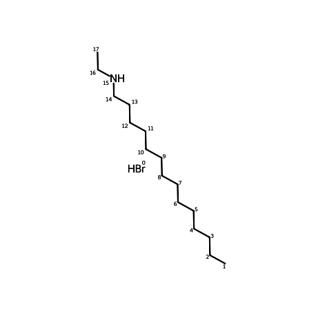 Br.CCCCCCCCCCCCCCNCC